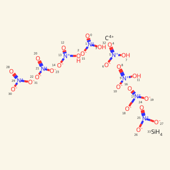 O=[N+]([O-])O.O=[N+]([O-])O.O=[N+]([O-])O.O=[N+]([O-])O.O=[N+]([O-])[O-].O=[N+]([O-])[O-].O=[N+]([O-])[O-].O=[N+]([O-])[O-].[C+4].[SiH4]